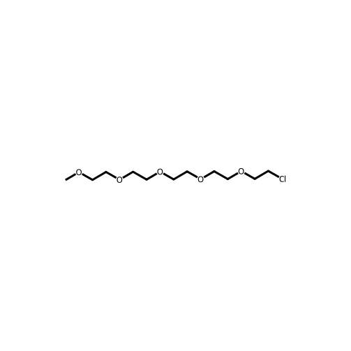 COCCOCCOCCOCCOCCCl